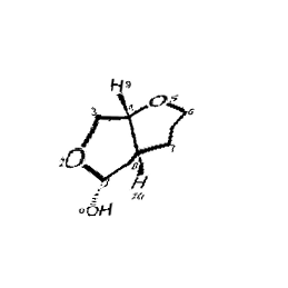 O[C@@H]1OC[C@@H]2OCC[C@H]12